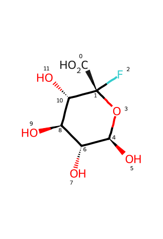 O=C(O)[C@@]1(F)O[C@@H](O)[C@H](O)[C@@H](O)[C@@H]1O